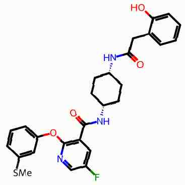 CSc1cccc(Oc2ncc(F)cc2C(=O)N[C@H]2CC[C@@H](NC(=O)Cc3ccccc3O)CC2)c1